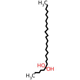 CCCCCCCCCCCCCCCCCCCCCCC(O)(O)CCCCC